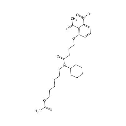 CC(=O)OCCCCCCN(C(=O)CCCOc1cccc([N+](=O)[O-])c1C(C)=O)C1CCCCC1